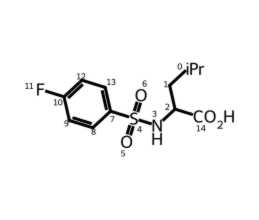 CC(C)CC(NS(=O)(=O)c1ccc(F)cc1)C(=O)O